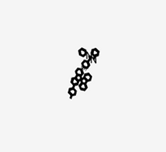 CC1=CC=C(c2ccc3c(c2)C2(C4=C(CCC=C4)c4ccccc42)C2=C3CCC([C@@H]3CC=C(c4nc5ccccc5n4C4C=CC=CC4)CC3)=C2)CC1